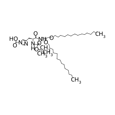 CCCCCCCCCCCCCCOCC(CNC(=O)[C@H](Cc1cn(C(=O)O)cn1)NC(=O)OC(C)(C)C)OCCCCCCCCCCCCCC